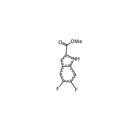 COC(=O)c1cc2cc(F)c(F)cc2[nH]1